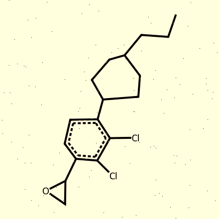 CCCC1CCC(c2ccc(C3CO3)c(Cl)c2Cl)CC1